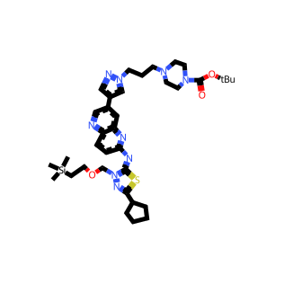 CC(C)(C)OC(=O)N1CCN(CCCn2cc(-c3cnc4ccc(N=c5sc(C6CCCC6)nn5COCC[Si](C)(C)C)nc4c3)cn2)CC1